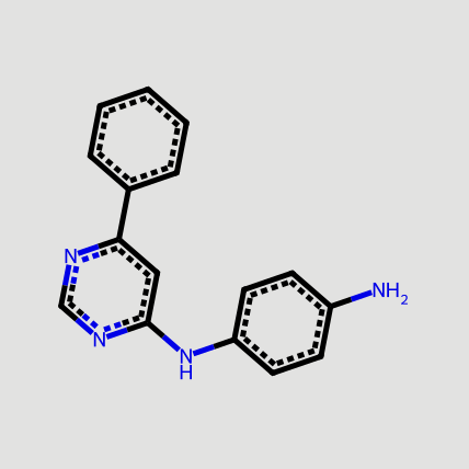 Nc1ccc(Nc2cc(-c3ccccc3)ncn2)cc1